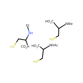 CC(=O)NC(CS)C(=O)O.CCNC(CS)C(=O)O.CNC(CS)C(=O)O